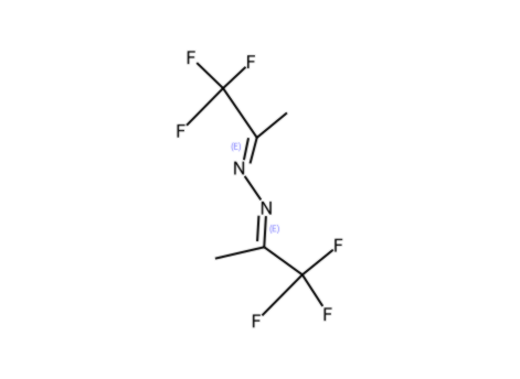 C/C(=N\N=C(/C)C(F)(F)F)C(F)(F)F